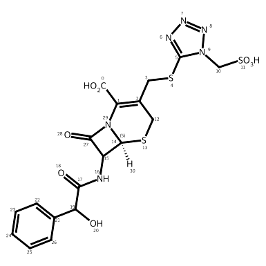 O=C(O)C1=C(CSc2nnnn2CS(=O)(=O)O)CS[C@H]2C(NC(=O)C(O)c3ccccc3)C(=O)N12